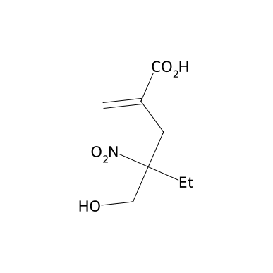 C=C(CC(CC)(CO)[N+](=O)[O-])C(=O)O